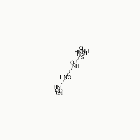 CC(C)(C)OC(=O)NCCCCCNC(=O)CCCCCNC(=O)CCCCC1SC[C@@H]2NC(=O)N[C@H]12